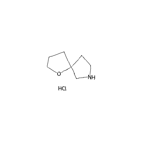 C1COC2(C1)CCNC2.Cl